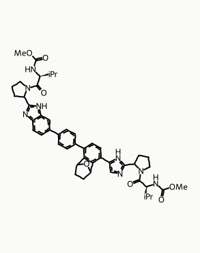 COC(=O)N[C@H](C(=O)N1CCCC1c1ncc(-c2ccc(-c3ccc(-c4ccc5nc(C6CCCN6C(=O)[C@@H](NC(=O)OC)C(C)C)[nH]c5c4)cc3)c3c2C2CCC3O2)[nH]1)C(C)C